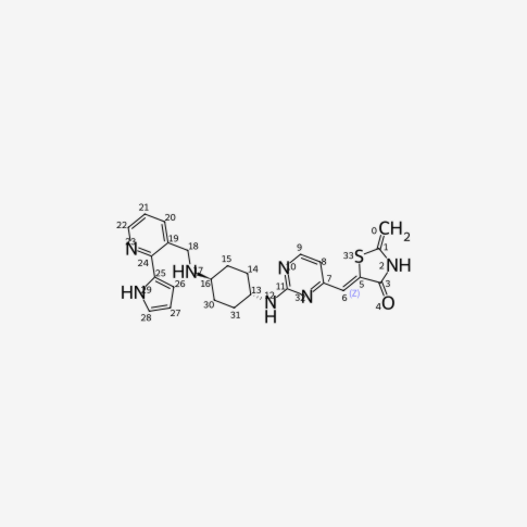 C=c1[nH]c(=O)/c(=C/c2ccnc(N[C@H]3CC[C@H](NCc4cccnc4-c4ccc[nH]4)CC3)n2)s1